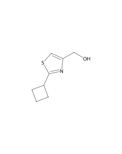 OCc1csc(C2CCC2)n1